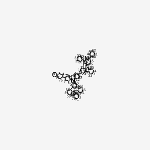 COc1ccc(-c2ccc(N(c3ccc(-c4ccc5c(c4)c4ccccc4n5C4=NC(c5ccccc5)=NC(c5ccccc5)C=C4)cc3)c3ccc4c(c3)-c3ccccc3C4(c3ccccc3)c3ccccc3)cc2)cc1